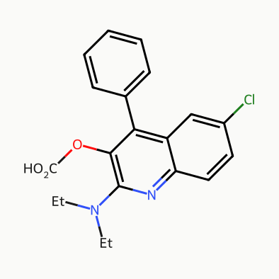 CCN(CC)c1nc2ccc(Cl)cc2c(-c2ccccc2)c1OC(=O)O